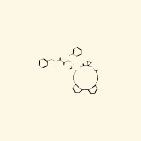 O=C1CCc2cccc(c2)-c2cccc(c2)CC[C@@H](C(=O)N[C@@H](Cc2ccccc2)C(=O)C(=O)NCc2ccccc2)NC(=O)C2(CC2)N1